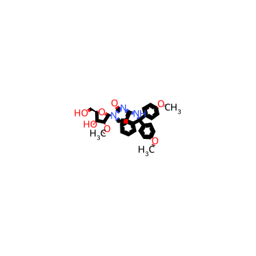 COc1ccc(C(Nc2ccn([C@@H]3O[C@H](CO)[C@@H](O)[C@H]3OC)c(=O)n2)(c2ccccc2)c2ccc(OC)cc2)cc1